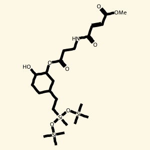 COC(=O)C=CC(=O)NCCC(=O)OC1CC(CC[Si](C)(O[Si](C)(C)C)O[Si](C)(C)C)CCC1O